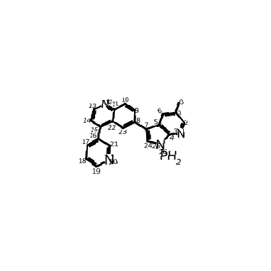 Cc1cnc2c(c1)c(-c1ccc3nccc(-c4cccnc4)c3c1)cn2P